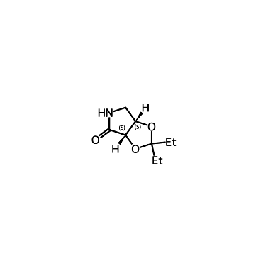 CCC1(CC)O[C@H]2CNC(=O)[C@H]2O1